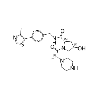 Cc1ncsc1-c1ccc(CNC(=O)[C@@H]2C[C@@H](O)CN2C(=O)[C@@H](C)N2CCNCC2)cc1